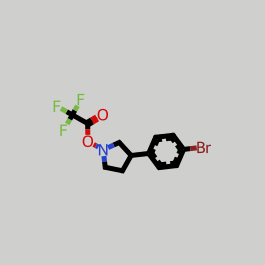 O=C(ON1CCC(c2ccc(Br)cc2)C1)C(F)(F)F